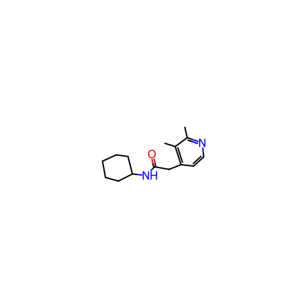 Cc1nccc(CC(=O)NC2CCCCC2)c1C